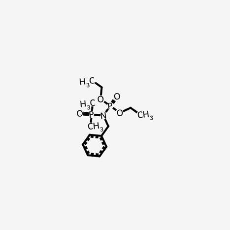 CCOP(=O)(OCC)N(Cc1ccccc1)P(C)(C)=O